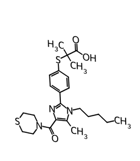 CCCCCn1c(-c2ccc(SC(C)(C)C(=O)O)cc2)nc(C(=O)N2CCSCC2)c1C